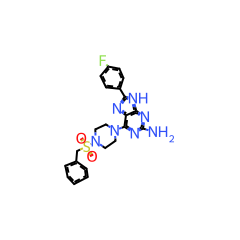 Nc1nc(N2CCN(S(=O)(=O)Cc3ccccc3)CC2)c2nc(-c3ccc(F)cc3)[nH]c2n1